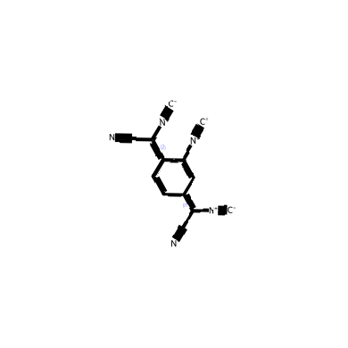 [C-]#[N+]/C(C#N)=c1/cc/c(=C(\C#N)[N+]#[C-])c([N+]#[C-])c1